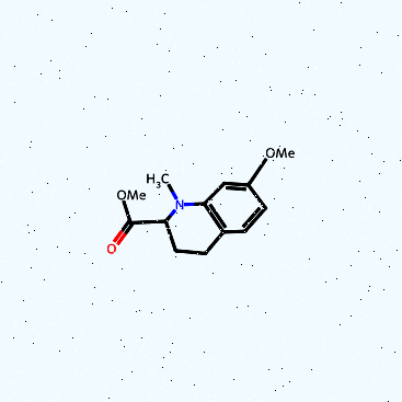 COC(=O)C1CCc2ccc(OC)cc2N1C